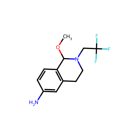 COC1c2ccc(N)cc2CCN1CC(F)(F)F